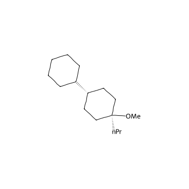 CCC[C@]1(OC)CC[C@H](C2CCCCC2)CC1